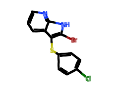 Clc1ccc(Sc2c(Br)[nH]c3ncccc23)cc1